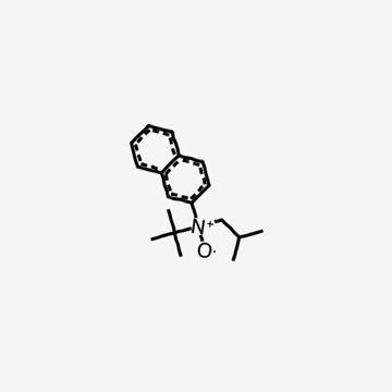 CC(C)C[N+]([O])(c1ccc2ccccc2c1)C(C)(C)C